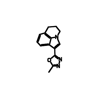 Cc1nnc(-c2cn3c4c(cccc24)CCC3)o1